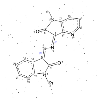 CC(C)N1C(=O)/C(=N\N=C2/C(=O)N(C)c3cccnc32)c2cccnc21